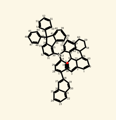 C1=CC2=CC=CC(c3ccccc3N(c3ccc(-c4ccc5ccccc5c4)cc3)c3cccc4c3-c3ccccc3C4(c3ccccc3)c3ccccc3)C2C(C2CCCCC2)=C1